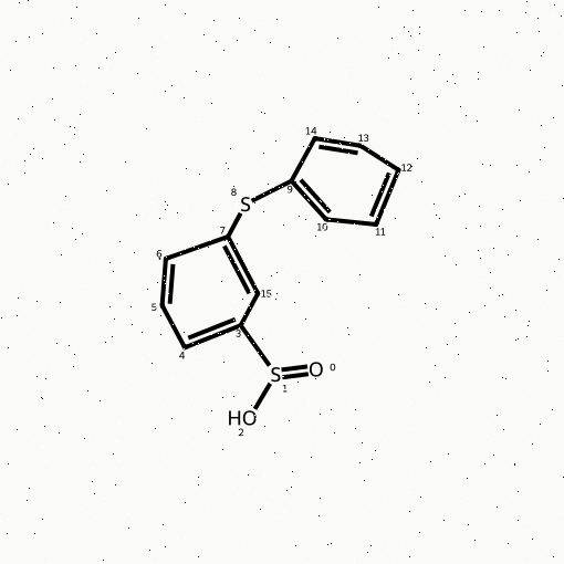 O=S(O)c1cc[c]c(Sc2ccccc2)c1